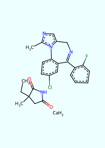 CCC1(C)CC(=O)NC1=O.Cc1ncc2n1-c1ccc(Cl)cc1C(c1ccccc1F)=NC2.[CaH2]